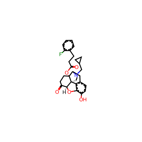 O=C(CCc1ccccc1F)O[C@@]12CCC(=O)[C@@H]3Oc4c(O)ccc5c4[C@@]31CCN(CC1CC1)C2C5